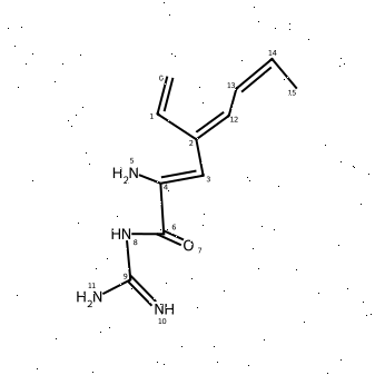 C=CC(/C=C(\N)C(=O)NC(=N)N)=C\C=C/C